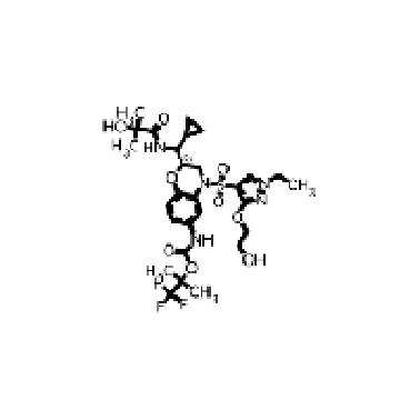 CCn1cc(S(=O)(=O)N2C[C@H](C(NC(=O)C(C)(C)O)C3CC3)Oc3ccc(NC(=O)OC(C)(C)C(F)(F)F)cc32)c(OCCO)n1